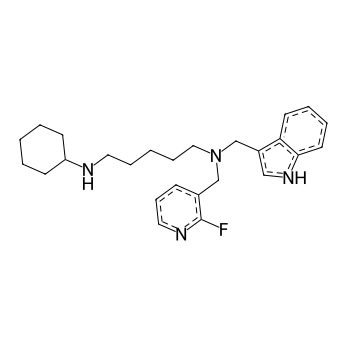 Fc1ncccc1CN(CCCCCNC1CCCCC1)Cc1c[nH]c2ccccc12